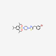 CC(C)c1cc(C(C)C)c(S(=O)(=O)N2CCN(c3nc(Cc4cccc(Br)c4)cs3)CC2)c(C(C)C)c1